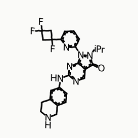 CC(C)n1c(=O)c2cnc(Nc3ccc4c(c3)CCNC4)nc2n1-c1cccc(C2(F)CC(F)(F)C2)n1